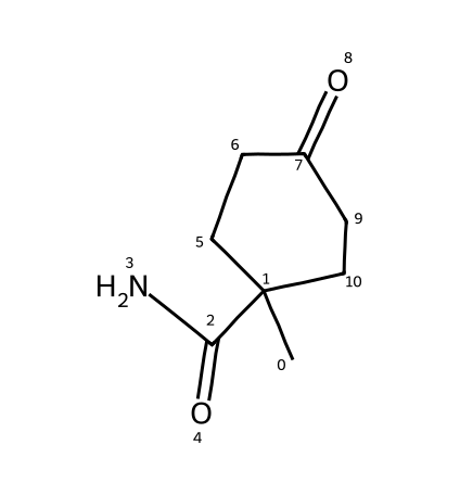 CC1(C(N)=O)CCC(=O)CC1